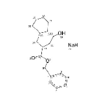 O=C(OCc1ccccc1)C(CCO)CC1CCCCC1.[NaH]